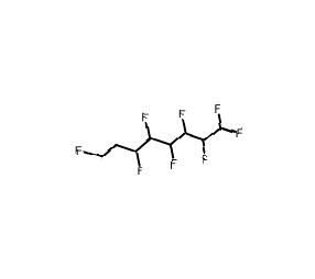 FCCC(F)C(F)C(F)C(F)C(F)C(F)F